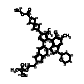 Cc1cc2c(cnn2C2CCCCO2)c(-c2c(-c3ccc4nn(CCO[Si](C)(C)C(C)(C)C)cc4c3)nn(C3CC4(C3)CN(C(=O)OC(C)(C)C)C4)c2C)c1Cl